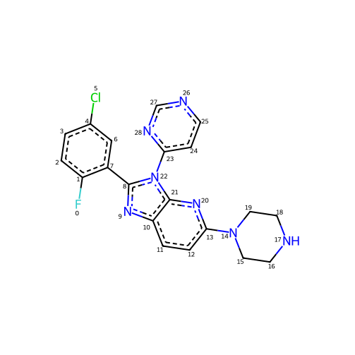 Fc1ccc(Cl)cc1-c1nc2ccc(N3CCNCC3)nc2n1-c1ccncn1